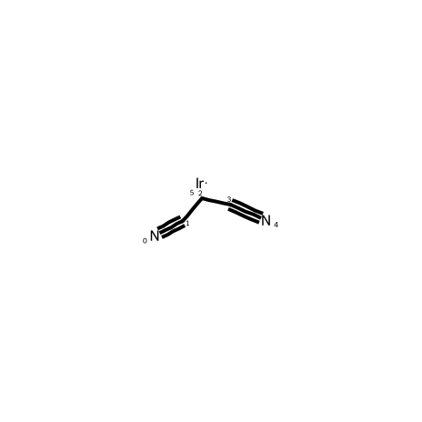 N#CCC#N.[Ir]